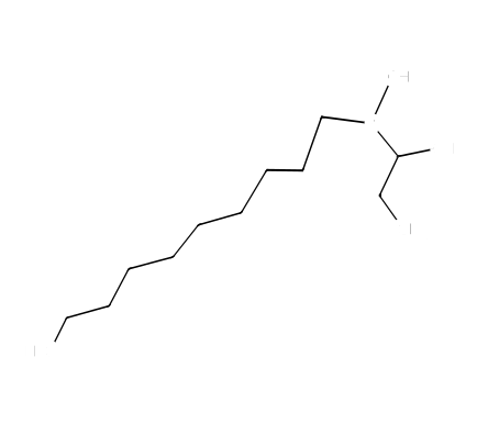 CCCCCCCCCCP(C)C(C)CC